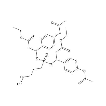 CCOC(=O)CC(OP(=O)(CCCNO)OC(CC(=O)OCC)c1ccc(OC(C)=O)cc1)c1ccc(OC(C)=O)cc1